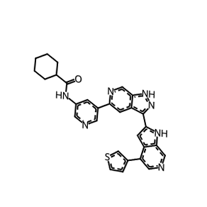 O=C(Nc1cncc(-c2cc3c(-c4cc5c(-c6ccsc6)cncc5[nH]4)n[nH]c3cn2)c1)C1CCCCC1